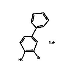 Sc1ccc(-c2ccccc2)cc1Br.[NaH]